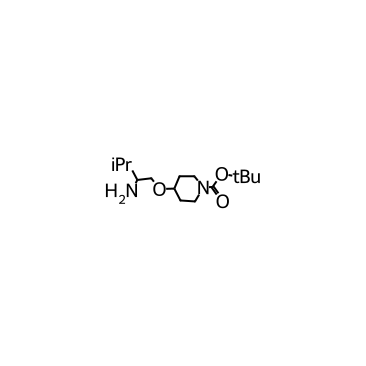 CC(C)C(N)COC1CCN(C(=O)OC(C)(C)C)CC1